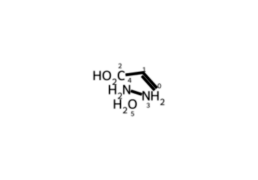 C=CC(=O)O.NN.O